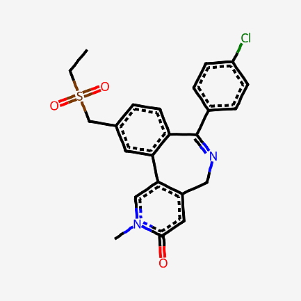 CCS(=O)(=O)Cc1ccc2c(c1)-c1cn(C)c(=O)cc1CN=C2c1ccc(Cl)cc1